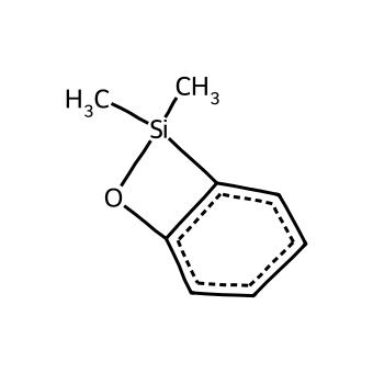 C[Si]1(C)Oc2ccccc21